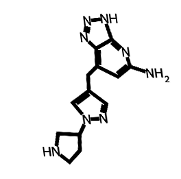 Nc1cc(Cc2cnn(C3CCNC3)c2)c2nn[nH]c2n1